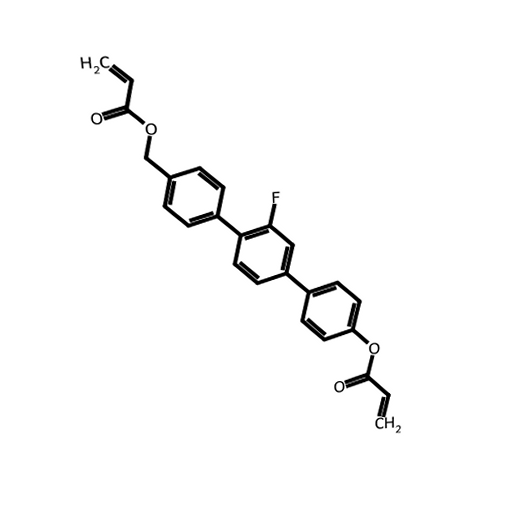 C=CC(=O)OCc1ccc(-c2ccc(-c3ccc(OC(=O)C=C)cc3)cc2F)cc1